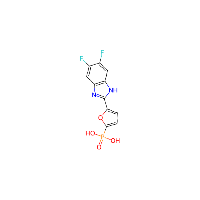 O=P(O)(O)c1ccc(-c2nc3cc(F)c(F)cc3[nH]2)o1